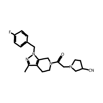 Cc1nn(Cc2ccc(F)cc2)c2c1CCN(C(=O)CN1CCC(C#N)C1)C2